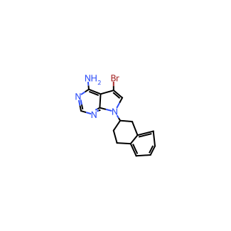 Nc1ncnc2c1c(Br)cn2C1CCc2ccccc2C1